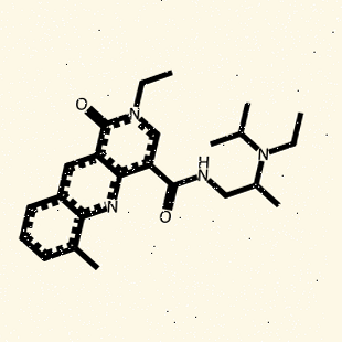 CCN(C(C)C)C(C)CNC(=O)c1cn(CC)c(=O)c2cc3cccc(C)c3nc12